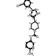 Cc1ccc(OC(=O)N2CCC(c3nc(-c4cccc(Cl)c4)n[nH]3)CC2)cn1